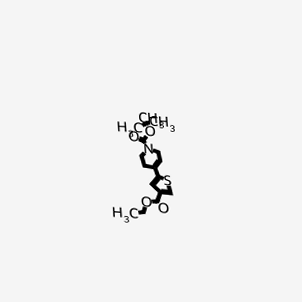 CCOC(=O)c1csc(C2=CCN(C(=O)OC(C)(C)C)CC2)c1